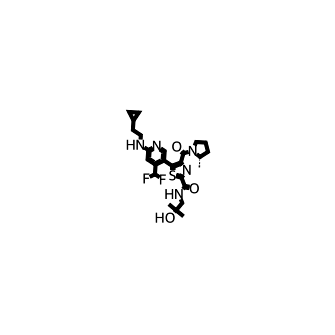 C[C@H]1CCCN1C(=O)c1nc(C(=O)NCC(C)(C)O)sc1-c1cnc(NCCC2CC2)cc1C(F)F